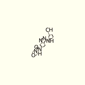 C#Cc1cccc(Nc2ncnc3cc(NC(=O)N4CCOCC4)ccc23)c1